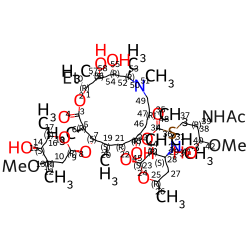 CC[C@H]1OC(=O)[C@H](C)[C@@H](O[C@H]2C[C@@](C)(OC)[C@@H](O)[C@H](C)O2)[C@H](C)[C@@H](O[C@@H]2O[C@H](C)C[C@H](N(C)C)[C@H]2OC(=O)SC[C@H](NC(C)=O)C(O)OC)[C@](C)(O)C[C@@H](C)CN(C)[C@H](C)[C@@H](O)[C@]1(C)O